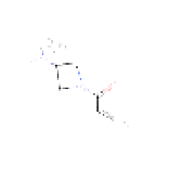 C=CC(=O)N1CC(NC(=O)O)C1